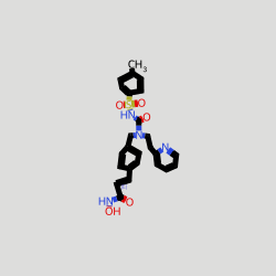 Cc1ccc(S(=O)(=O)NC(=O)N(CCc2ccccn2)Cc2ccc(/C=C/C(=O)NO)cc2)cc1